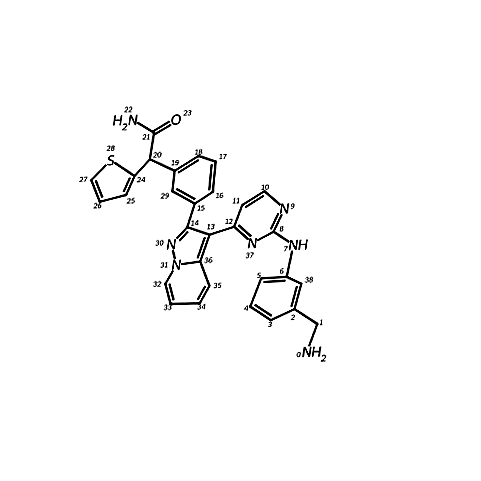 NCc1cccc(Nc2nccc(-c3c(-c4cccc(C(C(N)=O)c5cccs5)c4)nn4ccccc34)n2)c1